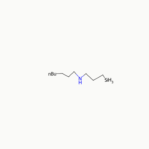 CCCCCCCNCCC[SiH3]